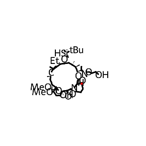 CC[C@@H]1/C=C(\C)C[C@H](C)C[C@H](OC)[C@H]2O[C@@](O)(C(=O)C(=O)N3CCCC[C@H]3C(=O)O[C@H](/C(C)=N/OCCO)[C@H](C)[C@@H](C)C[C@H]1OC[SiH](C)C(C)(C)C)[C@H](C)C[C@@H]2OC